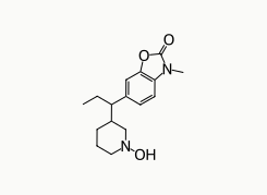 CCC(c1ccc2c(c1)oc(=O)n2C)C1CCCN(O)C1